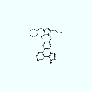 CCCc1cn(CC2CCCCC2)c(=O)n1Cc1ccc(-c2ccncc2-c2nnn[nH]2)cc1